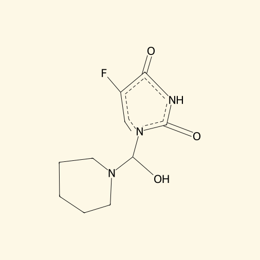 O=c1[nH]c(=O)n(C(O)N2CCCCC2)cc1F